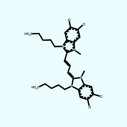 CN1C(=CC=Cc2n(C)c3cc(Cl)c(Cl)cc3[n+]2CCCCS(=O)(=O)O)N(CCCCS(=O)(=O)O)c2cc(Cl)c(Cl)cc21